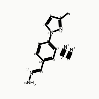 C#N.C#N.Cc1ccn(-c2ccc(C=NN)cc2)n1